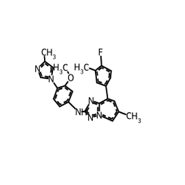 COc1cc(Nc2nc3c(-c4ccc(F)c(C)c4)cc(C)cn3n2)ccc1-n1cnc(C)c1